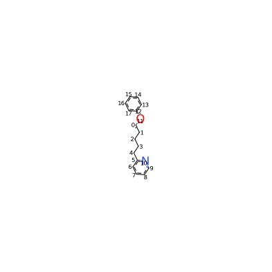 [CH](CCCCc1ccccn1)Oc1ccccc1